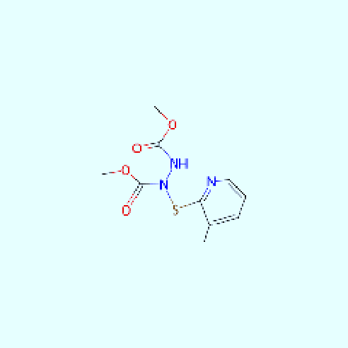 COC(=O)NN(Sc1ncccc1C)C(=O)OC